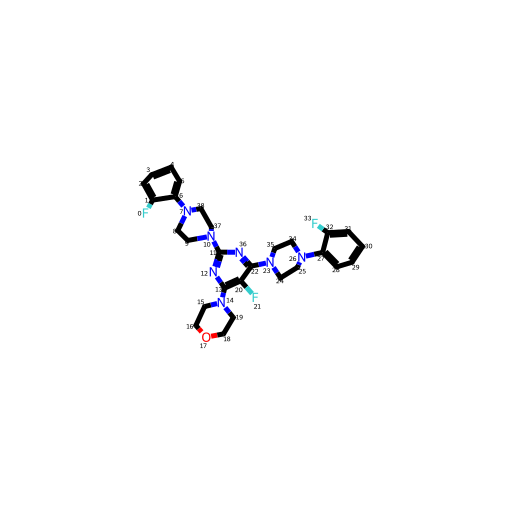 Fc1ccccc1N1CCN(c2nc(N3CCOCC3)c(F)c(N3CCN(c4ccccc4F)CC3)n2)CC1